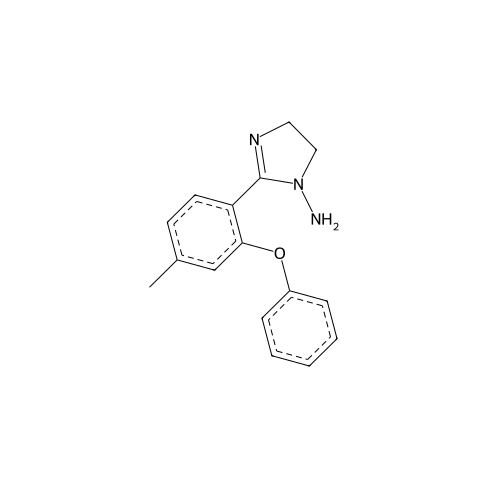 Cc1ccc(C2=NCCN2N)c(Oc2ccccc2)c1